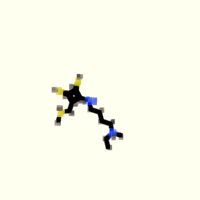 CCN(C)CCCCNc1c(CSC)c(=S)c1=S